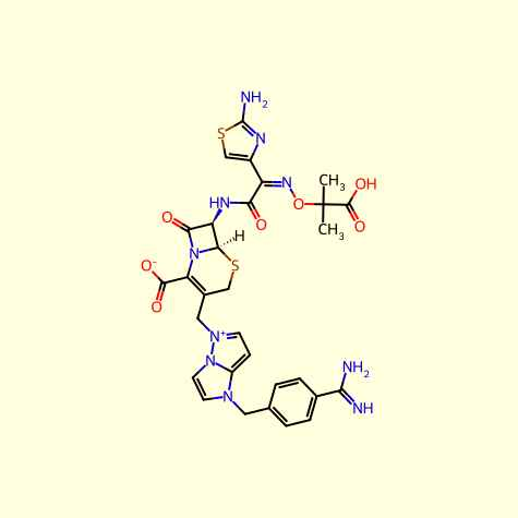 CC(C)(O/N=C(\C(=O)N[C@@H]1C(=O)N2C(C(=O)[O-])=C(C[n+]3ccc4n(Cc5ccc(C(=N)N)cc5)ccn43)CS[C@H]12)c1csc(N)n1)C(=O)O